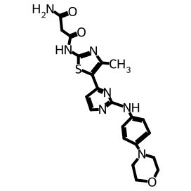 Cc1nc(NC(=O)CC(N)=O)sc1-c1ccnc(Nc2ccc(N3CCOCC3)cc2)n1